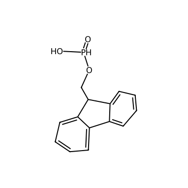 O=[PH](O)OCC1c2ccccc2-c2ccccc21